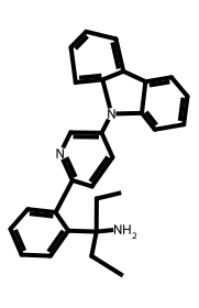 CCC(N)(CC)c1ccccc1-c1ccc(-n2c3ccccc3c3ccccc32)cn1